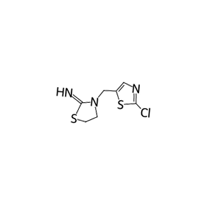 N=C1SCCN1Cc1cnc(Cl)s1